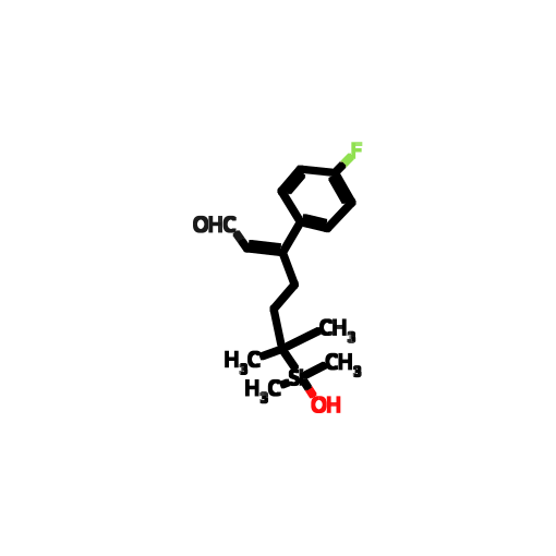 CC(C)(CC/C(=C/C=O)c1ccc(F)cc1)[Si](C)(C)O